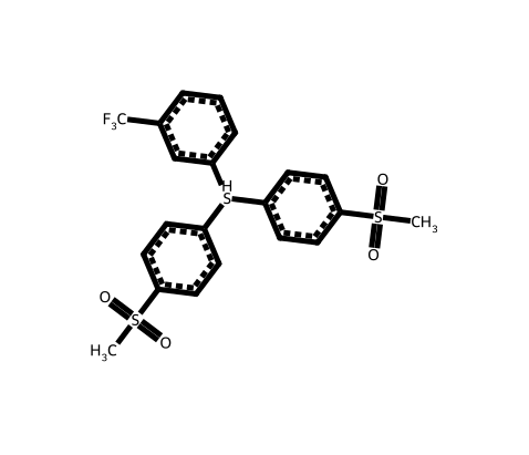 CS(=O)(=O)c1ccc([SH](c2ccc(S(C)(=O)=O)cc2)c2cccc(C(F)(F)F)c2)cc1